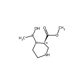 COC(=O)[C@H]1CNCCN1B(C)O